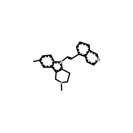 Cc1ccc2c(c1)c1c(n2C=Cc2cccc3cnccc23)CCN(C)C1